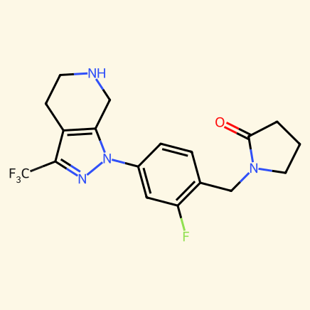 O=C1CCCN1Cc1ccc(-n2nc(C(F)(F)F)c3c2CNCC3)cc1F